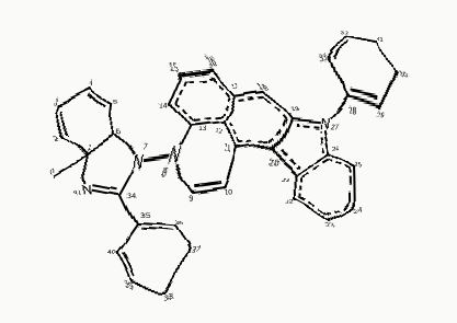 CC12C=CC=CC1N(N1C=Cc3c4c1cccc4cc1c3c3ccccc3n1C1=CCCC=C1)C(C1=CCCC=C1)=N2